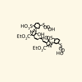 CCOC(=O)C1=NN(c2cc(SOOO)ccc2S(=O)(=O)O)C(=O)\C1=C/C=C\C=C/c1c(C(=O)OCC)nn(-c2cc(SOOO)ccc2S(=O)(=O)O)c1O